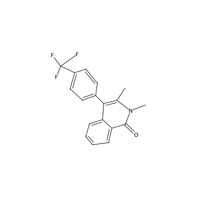 Cc1c(-c2ccc(C(F)(F)F)cc2)c2ccccc2c(=O)n1C